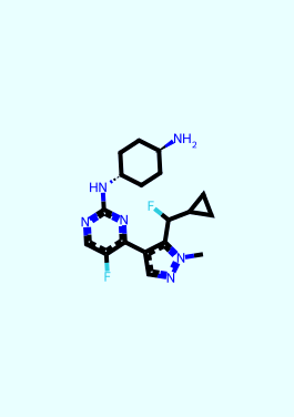 Cn1ncc(-c2nc(N[C@H]3CC[C@H](N)CC3)ncc2F)c1C(F)C1CC1